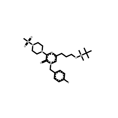 CC(C)(C)[Si](C)(C)OCCCc1cn(Cc2ccc(F)cc2)c(=O)c(N2CCN(S(C)(=O)=O)CC2)n1